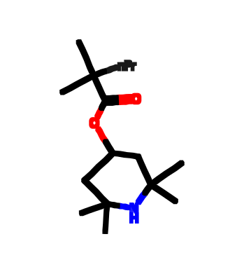 CCCC(C)(C)C(=O)OC1CC(C)(C)NC(C)(C)C1